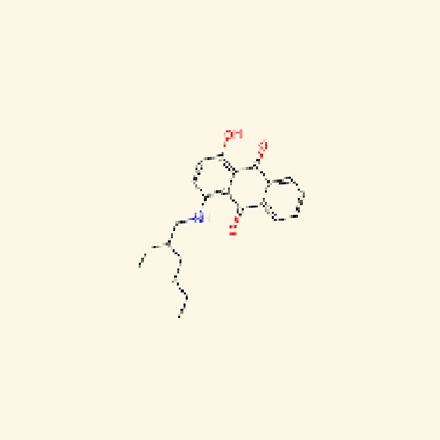 CCCCC(CC)CNc1ccc(O)c2c1C(=O)c1ccccc1C2=O